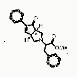 COC(=O)C(Cc1ccccc1)N1C[C@@H]2C=C(c3ccccc3)C(=O)[C@@H]2C1